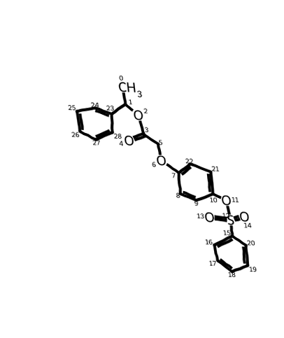 CC(OC(=O)COc1ccc(OS(=O)(=O)c2ccccc2)cc1)c1ccccc1